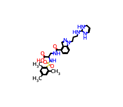 Cc1cc(C)c(S(=O)(=O)NC(CNC(=O)c2cccc3c2cnn3CCCNC2NC=CCN2)C(=O)O)c(C)c1